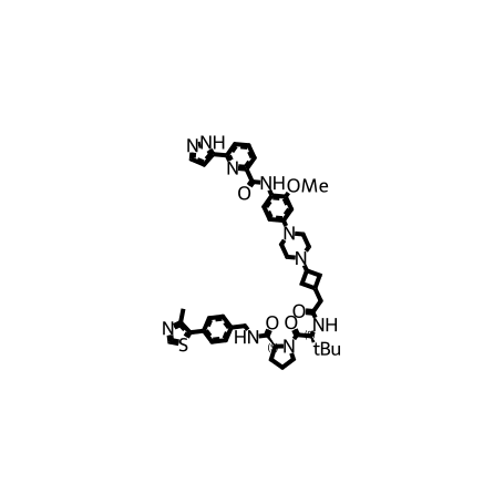 COc1cc(N2CCN(C3CC(CC(=O)N[C@H](C(=O)N4CCC[C@H]4C(=O)NCc4ccc(-c5scnc5C)cc4)C(C)(C)C)C3)CC2)ccc1NC(=O)c1cccc(-c2ccn[nH]2)n1